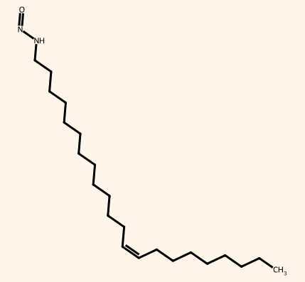 CCCCCCCC/C=C\CCCCCCCCCCCCNN=O